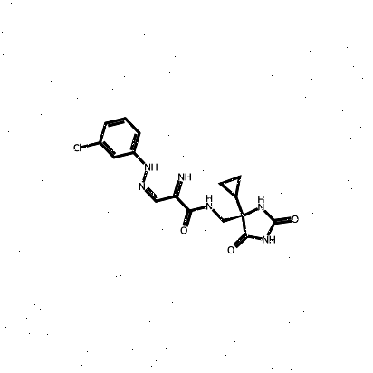 N=C(/C=N\Nc1cccc(Cl)c1)C(=O)NC[C@@]1(C2CC2)NC(=O)NC1=O